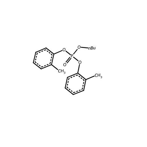 CCCCOP(=O)(Oc1ccccc1C)Oc1ccccc1C